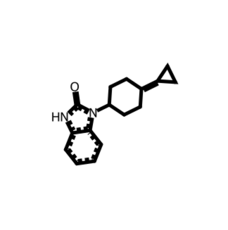 O=c1[nH]c2ccccc2n1C1CCC(=C2CC2)CC1